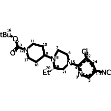 [C-]#[N+]c1cnc(N2CCN(C3CCN(C(=O)OC(C)(C)C)CC3)[C@@H](CC)C2)c(Cl)c1